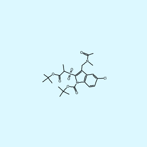 CC(=O)N(C)Cc1c(S(=O)(=O)C(C)C(=O)OC(C)(C)C)n(C(=O)OC(C)(C)C)c2ccc(Cl)cc12